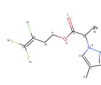 Cc1cnn(C(C(=O)OCCC(F)=C(F)F)C(C)C)c1